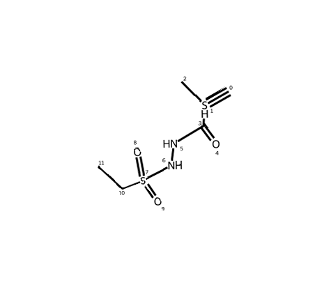 C#[SH](C)C(=O)NNS(=O)(=O)CC